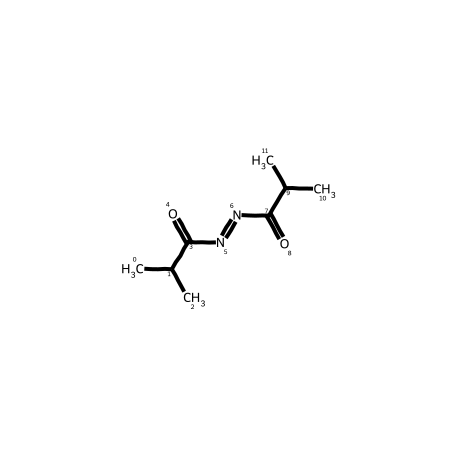 CC(C)C(=O)N=NC(=O)C(C)C